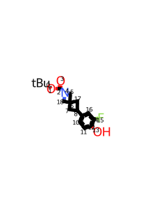 CC(C)(C)OC(=O)N1CC2(CC(c3ccc(O)c(F)c3)C2)C1